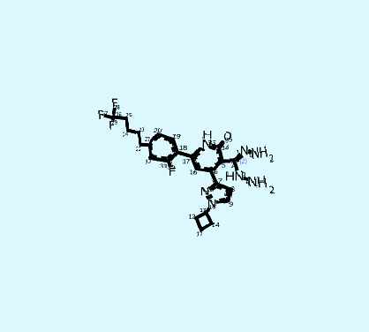 N/N=C(\NN)c1c(-c2ccn(C3CCC3)n2)cc(-c2ccc(CCCCC(F)(F)F)cc2F)[nH]c1=O